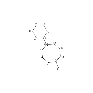 [CH3][In]1[CH2]CCN(C2CCCCC2)CC[CH2]1